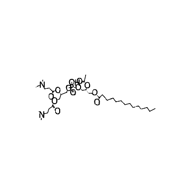 CCCCCCCCCCCCCC(=O)OC[C@H](COP(=O)(O)OCC(COC(=O)CCN(C)C)OC(=O)CCN(C)C)OC(C)=O